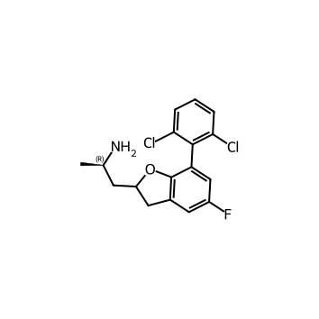 C[C@@H](N)CC1Cc2cc(F)cc(-c3c(Cl)cccc3Cl)c2O1